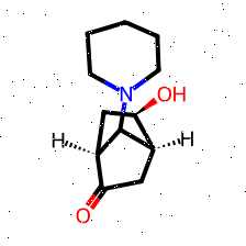 O=C1C[C@H]2C(N3CCCCC3)[C@@H]1C[C@H]2O